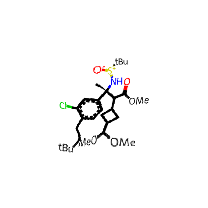 COC(=O)C(C1CC(C(OC)OC)C1)[C@@](C)(N[S@@+]([O-])C(C)(C)C)c1ccc(CCC(C)(C)C)c(Cl)c1